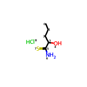 CCCC(O)C(N)=S.Cl